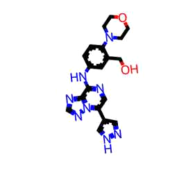 OCc1cc(Nc2ncc(-c3cn[nH]c3)n3ncnc23)ccc1N1CCOCC1